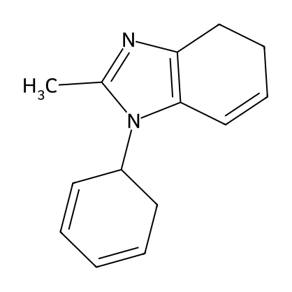 Cc1nc2c(n1C1C=CC=CC1)C=CCC2